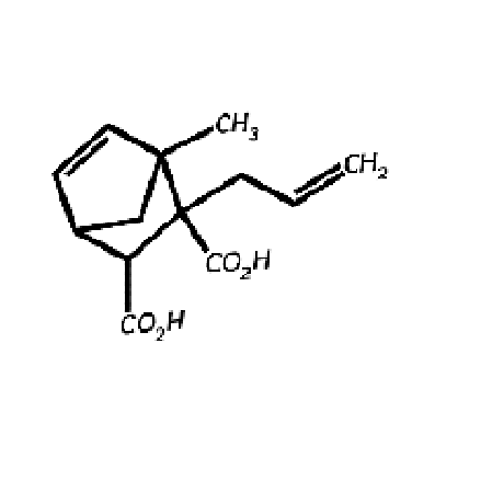 C=CCC1(C(=O)O)C(C(=O)O)C2C=CC1(C)C2